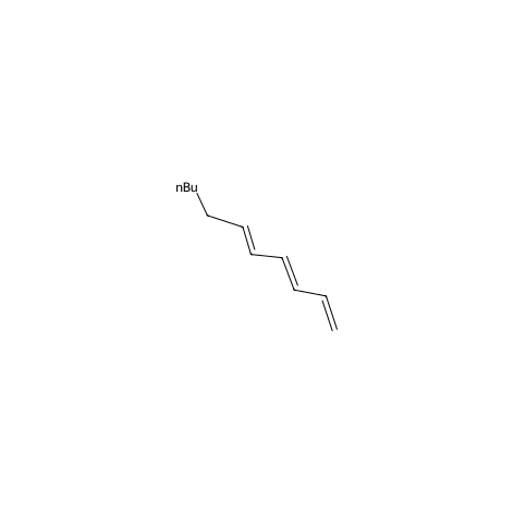 C=C/C=C/C=C/CCCCC